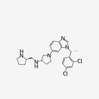 C[C@H](c1ccc(Cl)cc1Cl)n1cnc2ccc(N3CCC(NC[C@H]4CCCN4)C3)cc21